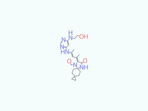 CC(/C=C(\C)Nc1cc(NCCO)ncn1)=C1\C(=O)NC2(CCC3(CC3)CC2)N1C=O